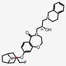 O=C1c2ccc(OC3CC4CCC(C3)N4CCF)cc2OCCN1C[C@H](O)CN1CCc2ccccc2C1